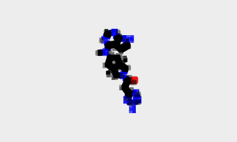 CN(c1ncnc2[nH]ccc12)[C@@H]1C[C@@]2(C)CN(C(=O)Cc3nn[nH]n3)C[C@@]2(C)C1